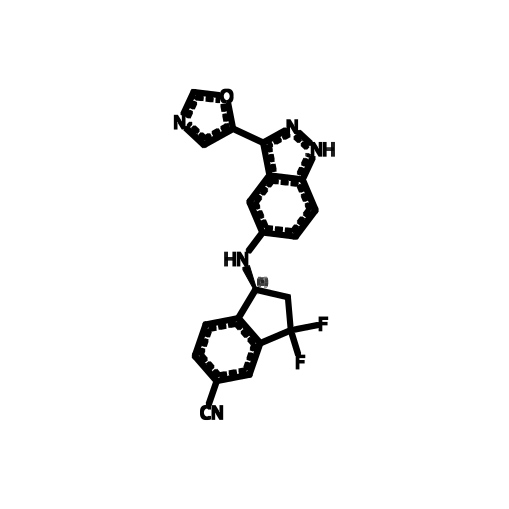 N#Cc1ccc2c(c1)C(F)(F)C[C@@H]2Nc1ccc2[nH]nc(-c3cnco3)c2c1